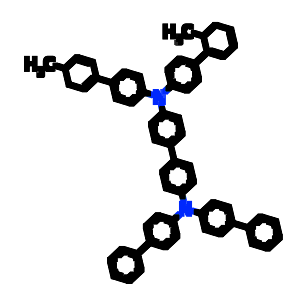 CC1C=CC(c2ccc(N(c3ccc(C4=CC=CCC4C)cc3)c3ccc(-c4ccc(N(c5ccc(-c6ccccc6)cc5)c5ccc(-c6ccccc6)cc5)cc4)cc3)cc2)=CC1